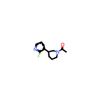 CC(=O)N1CCCC(c2cccnc2F)C1